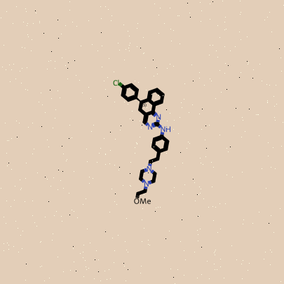 COCCN1CCN(CCc2ccc(Nc3ncc4c(n3)-c3ccccc3[C@H](c3ccc(Cl)cc3)C4)cc2)CC1